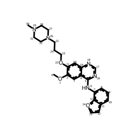 COc1cc2c(Nc3cccc4ccoc34)ncnc2cc1OCCCN1CCN(C)CC1